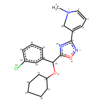 CN1C=CC=C(c2noc(C(OC3CCCCC3)c3cccc(Cl)c3)n2)C1